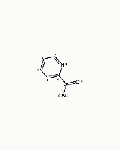 CC(=O)C(=O)c1ccccn1